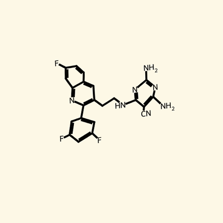 N#Cc1c(N)nc(N)nc1NCCc1cc2ccc(F)cc2nc1-c1cc(F)cc(F)c1